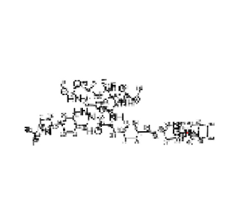 COC(=O)N[C@H](C(=O)NN(Cc1ccc(-c2ccn(C(F)F)n2)cc1)C[C@H](O)[C@H](Cc1ccc(C#Cc2ccc(N3CC4CCC(C3)N4C3COC3)nc2)cc1)NC(=O)[C@@H](NC(=O)OC)C(C)(C)C(F)(F)F)C(C)(C)C